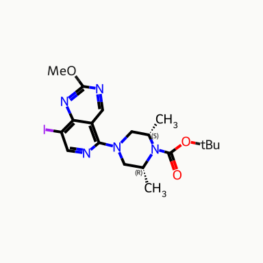 COc1ncc2c(N3C[C@@H](C)N(C(=O)OC(C)(C)C)[C@@H](C)C3)ncc(I)c2n1